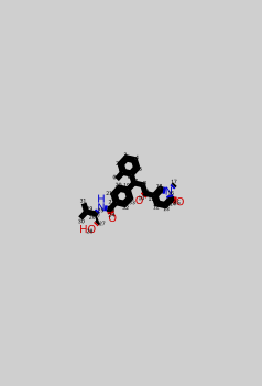 Cc1ccccc1C(CC(=O)c1ccc(=O)n(C)c1)c1ccc(C(=O)N[C@@H](CO)C(C)C)cc1